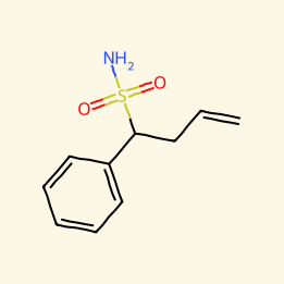 C=CCC(c1ccccc1)S(N)(=O)=O